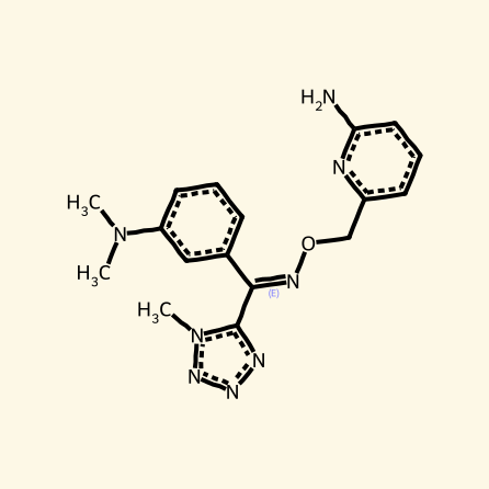 CN(C)c1cccc(/C(=N\OCc2cccc(N)n2)c2nnnn2C)c1